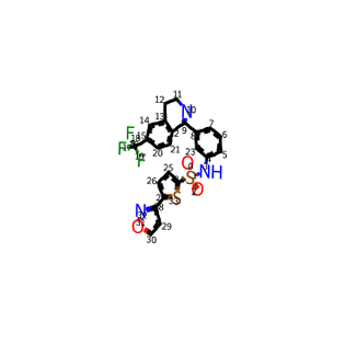 O=S(=O)(Nc1cccc(C2=NCCc3cc(C(F)(F)F)ccc32)c1)c1ccc(-c2ccon2)s1